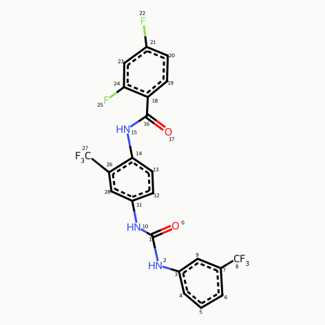 O=C(Nc1cccc(C(F)(F)F)c1)Nc1ccc(NC(=O)c2ccc(F)cc2F)c(C(F)(F)F)c1